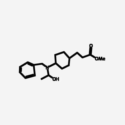 COC(=O)CCC1CCC(N(Cc2ccccc2)C(C)O)CC1